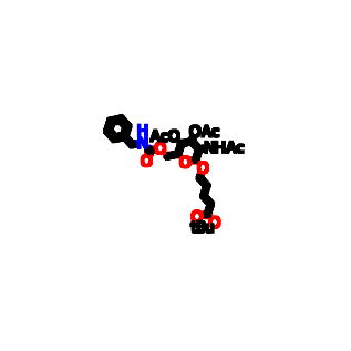 CC(=O)NC1C(OCCCCC(=O)OC(C)(C)C)OC(COC(=O)NCc2ccccc2)C(OC(C)=O)C1OC(C)=O